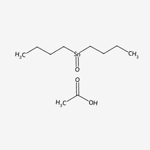 CC(=O)O.CCC[CH2][Sn](=[O])[CH2]CCC